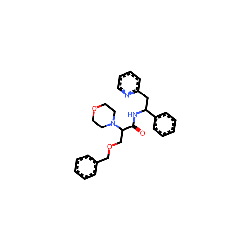 O=C(NC(Cc1ccccn1)c1ccccc1)C(COCc1ccccc1)N1CCOCC1